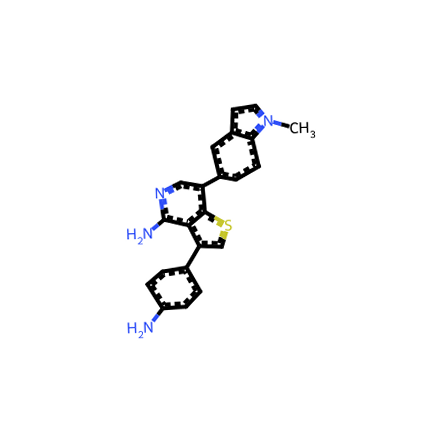 Cn1ccc2cc(-c3cnc(N)c4c(-c5ccc(N)cc5)csc34)ccc21